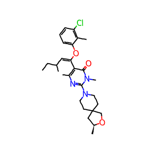 CCC(C)/C=C(/Oc1cccc(Cl)c1C)c1c(C)nc(N2CCC3(CC2)CO[C@@H](C)C3)n(C)c1=O